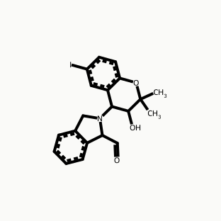 CC1(C)Oc2ccc(I)cc2C(N2Cc3ccccc3C2C=O)C1O